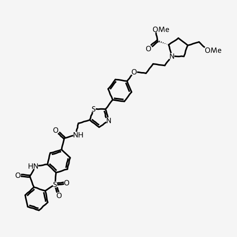 COCC1C[C@@H](C(=O)OC)N(CCCOc2ccc(-c3ncc(CNC(=O)c4ccc5c(c4)NC(=O)c4ccccc4S5(=O)=O)s3)cc2)C1